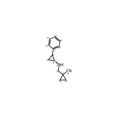 N#CC1(CN[C@H]2CC2c2ccccc2)CC1